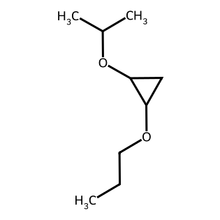 CCCOC1CC1OC(C)C